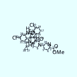 COC(=O)c1ccc(N2CC[C@H]3[C@@H](C2=O)[C@H](c2cccc(Cl)c2F)[C@]2(C(=O)Nc4cc(Cl)ccc42)N3CC2CC2)cn1